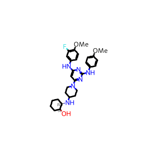 COc1ccc(Nc2nc(Nc3ccc(OC)c(F)c3)cc(N3CCC(N[C@H]4CCCC[C@@H]4O)CC3)n2)cc1